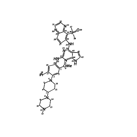 COc1cc(N2CCC(N3CCN(C)CC3)CC2)c(C(C)C)cc1Nc1nc(Nc2ccc3nccnc3c2P(C)(C)=O)c2cc[nH]c2n1